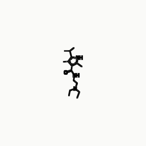 CCN(CC)CCNC(=O)c1c(C)[nH]c(C(C)C)c1C